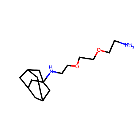 NCCOCCOCCNC12CC3CC(CC(C3)C1)C2